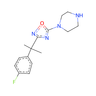 CC(C)(c1ccc(F)cc1)c1noc(N2CCNCC2)n1